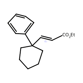 CCOC(=O)/C=C/C1(c2ccccc2)CCCCC1